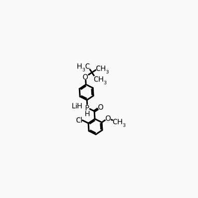 COc1cccc(Cl)c1C(=O)Pc1ccc(OC(C)(C)C)cc1.[LiH]